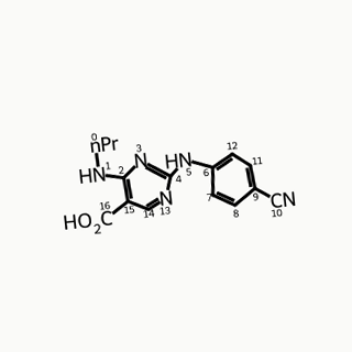 CCCNc1nc(Nc2ccc(C#N)cc2)ncc1C(=O)O